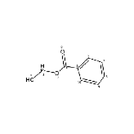 O=C(OPO)c1ccccc1